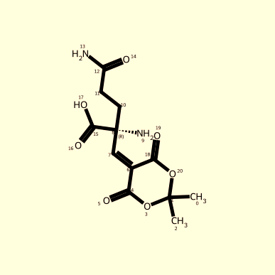 CC1(C)OC(=O)C(=C[C@](N)(CCC(N)=O)C(=O)O)C(=O)O1